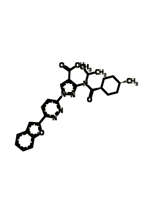 CC(C)N(c1nn(-c2ccc(-c3cc4ccccc4o3)nn2)cc1C(=O)O)C(=O)[C@H]1CC[C@H](C)CC1